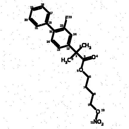 CC(C)(C(=O)OCCCCO[N+](=O)[O-])c1ccc(-c2ccccc2)c(F)c1